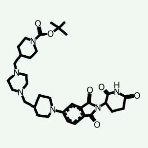 CC(C)(C)OC(=O)N1CCC(CN2CCN(CC3CCN(c4ccc5c(c4)C(=O)N(C4CCC(=O)NC4=O)C5=O)CC3)CC2)CC1